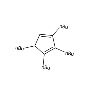 CCCCC1=[C]C(CCCC)C(CCCC)=C1CCCC